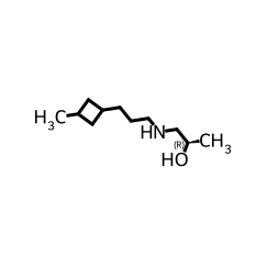 CC1CC(CCCNC[C@@H](C)O)C1